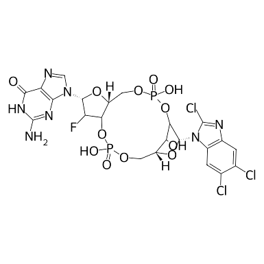 Nc1nc2c(ncn2[C@@H]2O[C@@H]3COP(=O)(O)OC4C(O)[C@@H](COP(=O)(O)OC3C2F)O[C@H]4n2c(Cl)nc3cc(Cl)c(Cl)cc32)c(=O)[nH]1